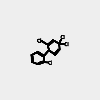 ClC1=CC(Cl)(Cl)C=CC1c1ccccc1Cl